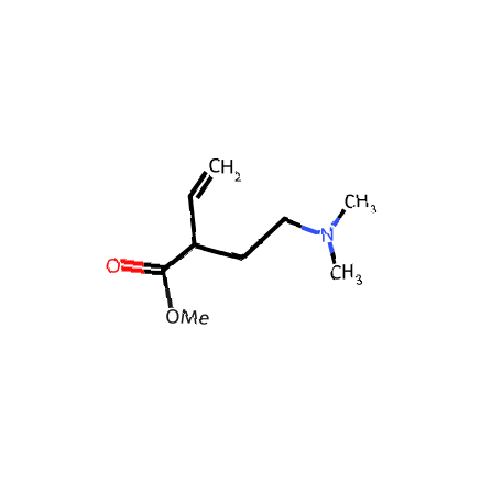 C=CC(CCN(C)C)C(=O)OC